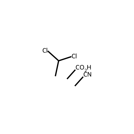 CC#N.CC(=O)O.CC(Cl)Cl